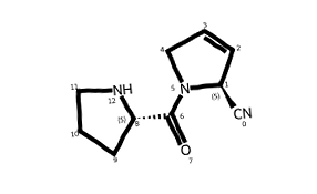 N#C[C@@H]1C=CCN1C(=O)[C@@H]1CCCN1